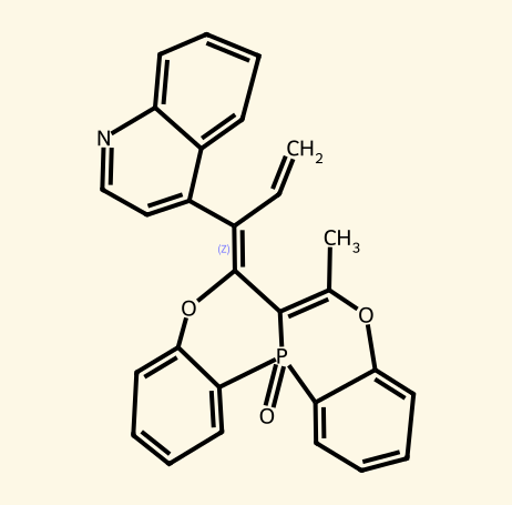 C=C/C(=C1/Oc2ccccc2P2(=O)C1=C(C)Oc1ccccc12)c1ccnc2ccccc12